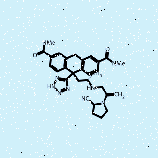 C=C(CN[C@@H](C)CC1(c2nn[nH]n2)c2ccc(C(=O)NC)cc2Cc2cc(C(=O)NC)ccc21)N1CCCC1C#N